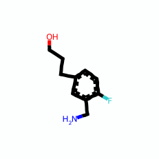 NCc1cc(CCCO)ccc1F